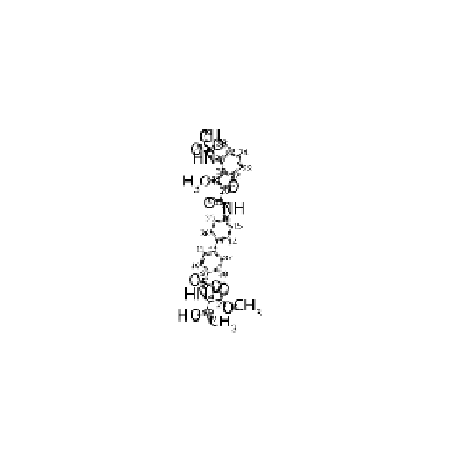 COC(=O)C(NS(=O)(=O)c1ccc(-c2ccc(NC(=O)c3oc4cccc(NS(C)(=O)=O)c4c3C)cc2)cc1)C(C)O